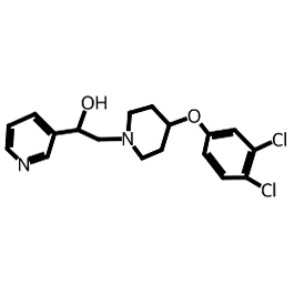 OC(CN1CCC(Oc2ccc(Cl)c(Cl)c2)CC1)c1cccnc1